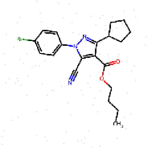 CCCCOC(=O)c1c(C2CCCC2)nn(-c2ccc(Br)cc2)c1C#N